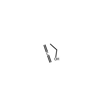 C=C=C.CCO